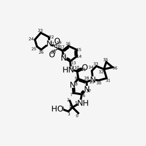 CC(C)(CO)Nc1cnc(C(=O)Nc2cccc(S(=O)(=O)N3CCCCC3)n2)c(N2CCC3(CC2)CC3)n1